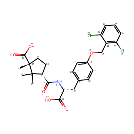 CC1(C)[C@@H](C(=O)N[C@H](Cc2ccc(OCc3c(Cl)cccc3Cl)cc2)C(=O)O)CC[C@@]1(C)C(=O)O